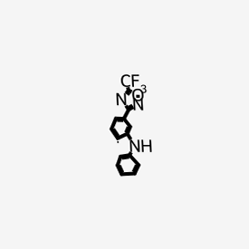 FC(F)(F)c1nc(-c2cc[c]c(Nc3ccccc3)c2)no1